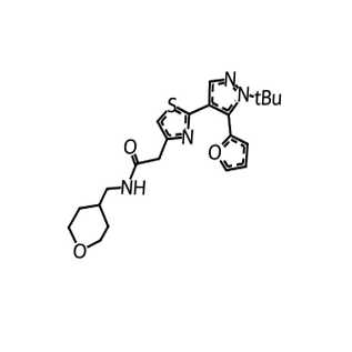 CC(C)(C)n1ncc(-c2nc(CC(=O)NCC3CCOCC3)cs2)c1-c1ccco1